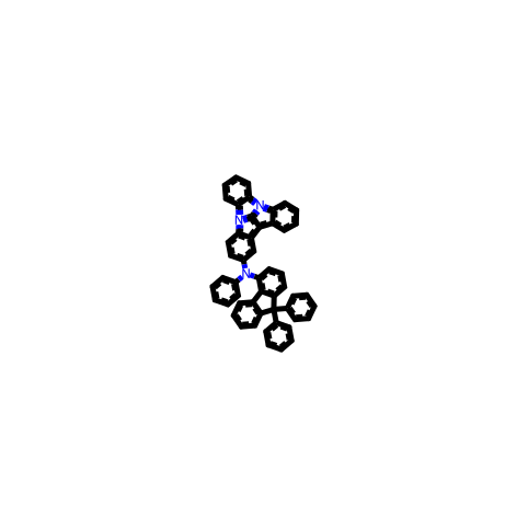 c1ccc(N(c2ccc3c(c2)c2c4ccccc4n4c5ccccc5n3c24)c2cccc3c2-c2ccccc2C3(c2ccccc2)c2ccccc2)cc1